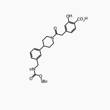 CC(C)(C)OC(=O)NCc1cccc(C2CCN(C(=O)Cc3ccc(C(=O)O)c(O)c3)CC2)c1